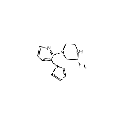 C[C@@H]1CN(c2ncccc2-n2cccc2)CCN1